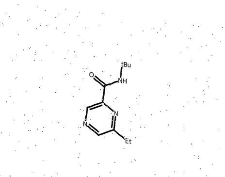 CCc1cncc(C(=O)NC(C)(C)C)n1